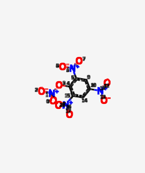 O=[N+]([O-])Oc1c([N+](=O)[O-])cc([N+](=O)[O-])cc1[N+](=O)[O-]